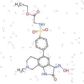 CCOC(=O)CNS(=O)(=O)c1ccc(-c2cc3c(c4c2CCN(C)C4)NC(=O)/C3=N\O)cc1